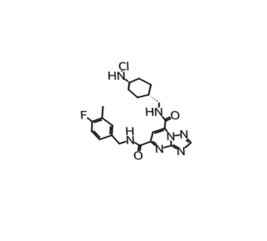 Cc1cc(CNC(=O)c2cc(C(=O)NC[C@H]3CC[C@H](NCl)CC3)n3ncnc3n2)ccc1F